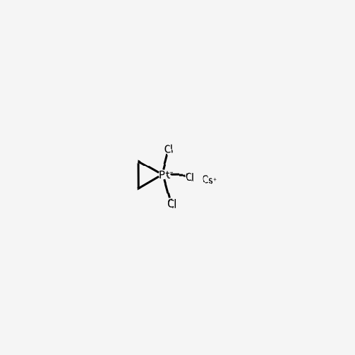 [Cl][Pt-]1([Cl])([Cl])[CH2][CH2]1.[Cs+]